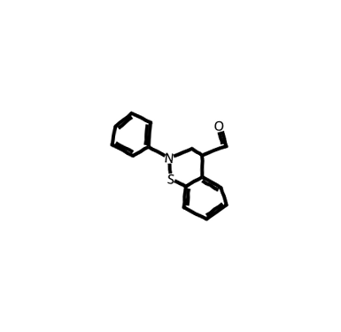 O=CC1CN(c2ccccc2)Sc2ccccc21